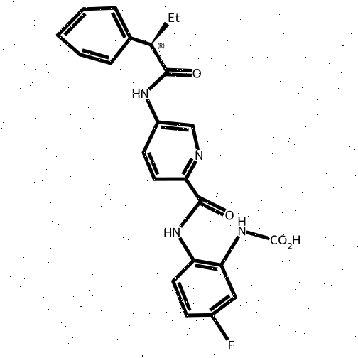 CC[C@@H](C(=O)Nc1ccc(C(=O)Nc2ccc(F)cc2NC(=O)O)nc1)c1ccccc1